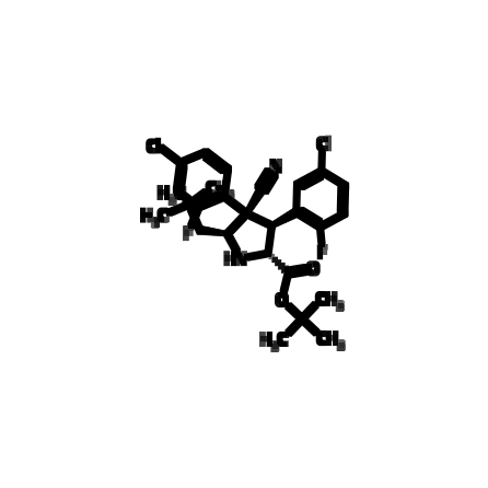 CC(C)(C)C[C@@H]1N[C@@H](C(=O)OC(C)(C)C)[C@H](c2cc(Cl)ccc2F)[C@@]1(C#N)c1ccc(Cl)cc1F